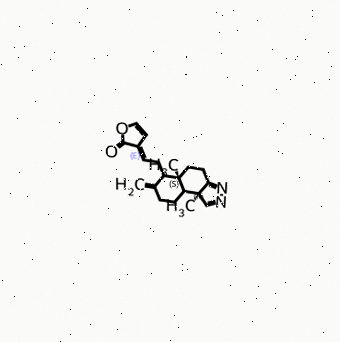 C=C1CCC2[C@@](C)(CCC3=NN=C[C@]32C)C1C/C=C1\C=COC1=O